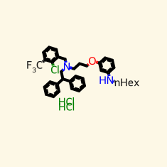 CCCCCCNc1cccc(OCCCN(Cc2cccc(C(F)(F)F)c2Cl)CC(c2ccccc2)c2ccccc2)c1.Cl.Cl